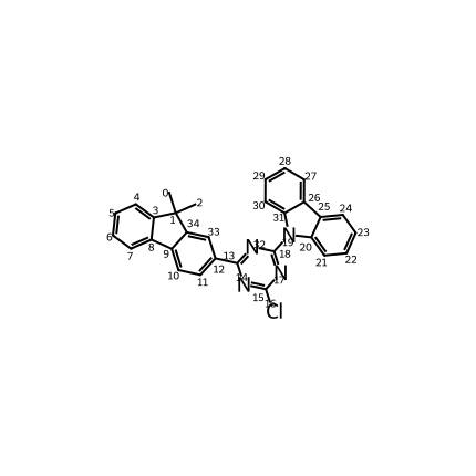 CC1(C)c2ccccc2-c2ccc(-c3nc(Cl)nc(-n4c5ccccc5c5ccccc54)n3)cc21